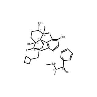 CN[C@@H](C)[C@H](O)c1ccccc1.Oc1ccc2c3c1O[C@H]1[C@@H](O)CC[C@@]4(O)[C@@H](C2)N(CC2CCC2)CC[C@]314